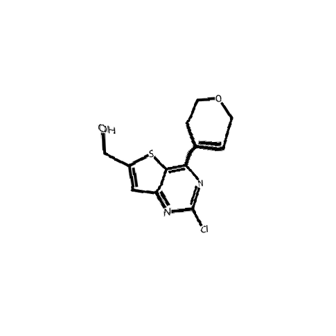 OCc1cc2nc(Cl)nc(C3=CCOCC3)c2s1